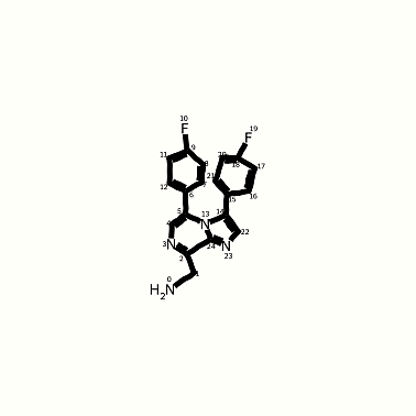 NCc1ncc(-c2ccc(F)cc2)n2c(-c3ccc(F)cc3)cnc12